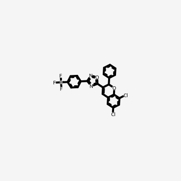 F[B-](F)(F)c1ccc(-c2noc(C3=Cc4cc(Cl)cc(Cl)c4OC3c3ccccc3)n2)cc1